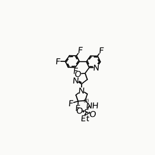 CCS(=O)(=O)N[C@@H]1CN(C2=NOC(c3ncc(F)cc3-c3c(F)cc(F)cc3F)C2)CC1(F)F